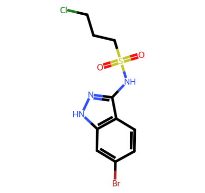 O=S(=O)(CCCCl)Nc1n[nH]c2cc(Br)ccc12